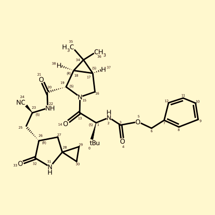 CC(C)(C)[C@H](NC(=O)OCc1ccccc1)C(=O)N1C[C@H]2[C@@H]([C@H]1C(=O)N[C@H](C#N)C[C@@H]1CC3(CC3)NC1=O)C2(C)C